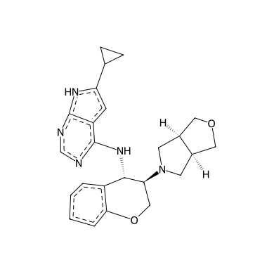 c1ccc2c(c1)OC[C@H](N1C[C@H]3COC[C@H]3C1)[C@H]2Nc1ncnc2[nH]c(C3CC3)cc12